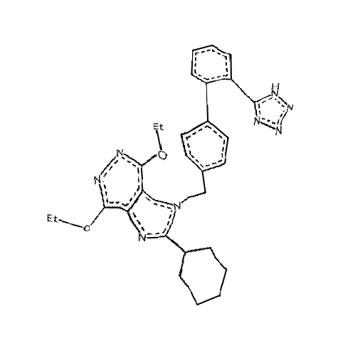 CCOc1nnc(OCC)c2c1nc(C1CCCCC1)n2Cc1ccc(-c2ccccc2-c2nnn[nH]2)cc1